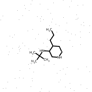 CCCC1CCNCC1NC(C)(C)C